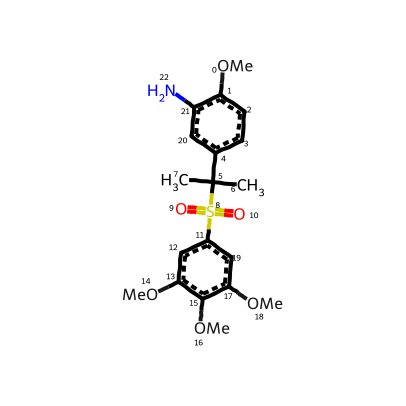 COc1ccc(C(C)(C)S(=O)(=O)c2cc(OC)c(OC)c(OC)c2)cc1N